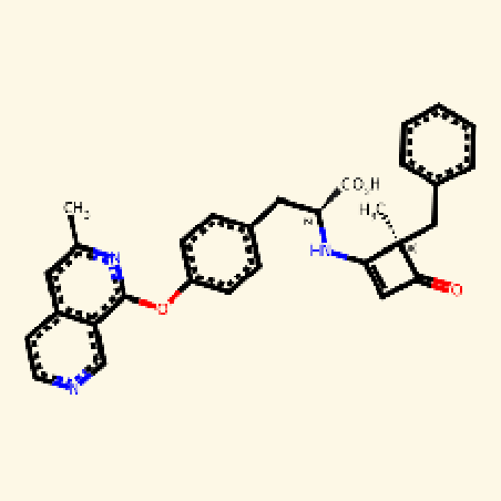 Cc1cc2ccncc2c(Oc2ccc(C[C@H](NC3=CC(=O)[C@]3(C)Cc3ccccc3)C(=O)O)cc2)n1